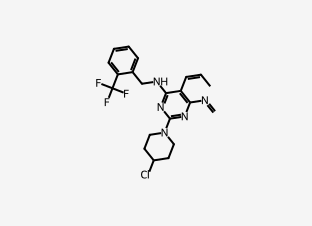 C=Nc1nc(N2CCC(Cl)CC2)nc(NCc2ccccc2C(F)(F)F)c1/C=C\C